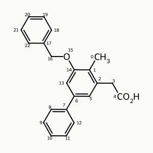 Cc1c(CC(=O)O)cc(-c2ccccc2)cc1OCc1ccccc1